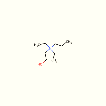 CCC[N+](CC)(CC)CCO